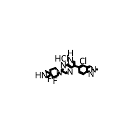 Cl.Cn1cc2c(Cl)c(-c3c[nH]c4nc(N5CCC6(CNC6)C(F)(F)C5)cnc34)ccc2n1